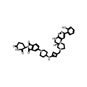 O=C1CCC(N2C(=O)c3ccc(N4CCC(NC56CC(CN7CCN8c9cc(-c%10ccccc%10O)nnc9NC[C@H]8C7)(C5)C6)CC4)cc3C2=O)C(=O)N1